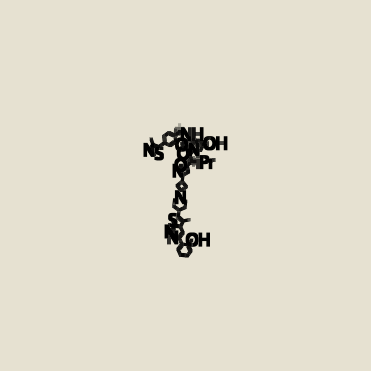 Cc1ncsc1-c1ccc([C@H](C)NC(=O)[C@@H]2C[C@@H](O)CN2C(=O)[C@H](c2cc(C3CC(N4CCC(c5sc6nnc(-c7ccccc7O)cc6c5C)CC4)C3)no2)C(C)C)cc1